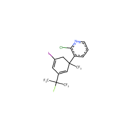 FC(F)(F)C1(c2cccnc2Cl)[CH]C(I)=CC(C(F)(C(F)(F)F)C(F)(F)F)=C1